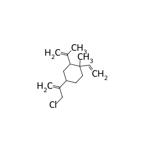 C=CC1(C)CCC(C(=C)CCl)CC1C(=C)C